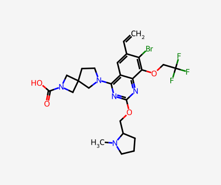 C=Cc1cc2c(N3CCC4(CN(C(=O)O)C4)C3)nc(OCC3CCCN3C)nc2c(OCC(F)(F)F)c1Br